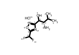 CC(C)[C@H](N)C(O)c1noc(C(F)F)n1.Cl